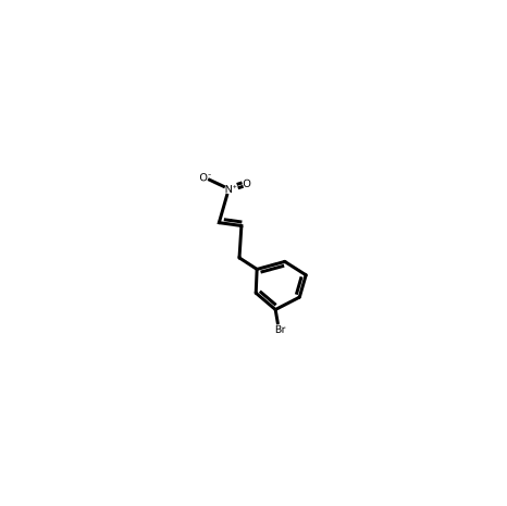 O=[N+]([O-])/C=C/Cc1cccc(Br)c1